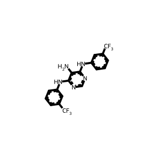 Nc1c(Nc2cccc(C(F)(F)F)c2)ncnc1Nc1cccc(C(F)(F)F)c1